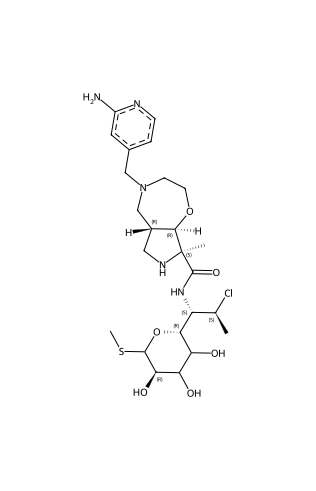 CSC1O[C@H]([C@H](NC(=O)[C@@]2(C)NC[C@@H]3CN(Cc4ccnc(N)c4)CCO[C@H]32)[C@H](C)Cl)C(O)C(O)[C@H]1O